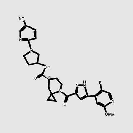 COc1cc(-c2cc(C(=O)N3CC[C@H](C(=O)NC4CCN(c5ccc(C#N)cn5)C4)CC34CC4)n[nH]2)c(F)cn1